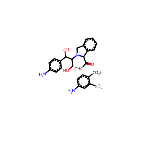 Nc1ccc(C(=O)O)c([N+](=O)[O-])c1.Nc1ccc(C(O)C(CO)N2Cc3ccccc3C2C(=O)C=O)cc1